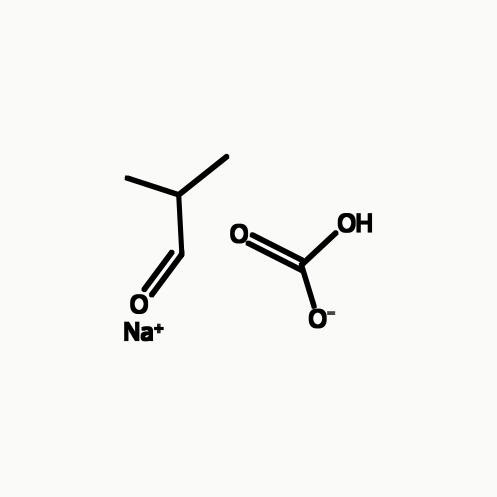 CC(C)C=O.O=C([O-])O.[Na+]